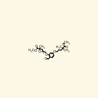 COC(=O)C(C)(C)CCCOc1ccc(C=O)c(OCCCC(C)(C)C(=O)OC)c1